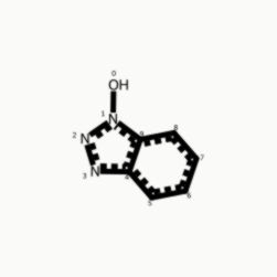 On1nnc2[c]cccc21